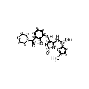 Cc1ccc([C@H](Nc2n[s+]([O-])nc2Nc2cccc(C(=O)N3CCOCC3)c2O)C(C)(C)C)o1